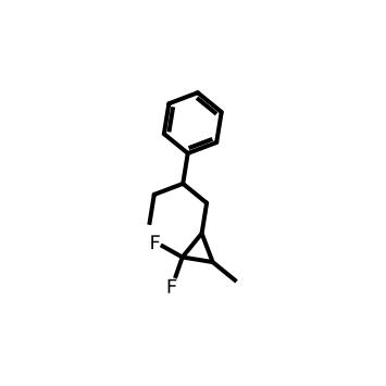 CCC(CC1C(C)C1(F)F)c1ccccc1